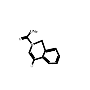 COC(=O)N1C=C(Cl)c2ccccc2C1